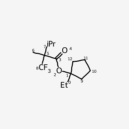 CCC1(OC(=O)C(C)(C(C)C)C(F)(F)F)CCCC1